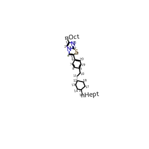 CCCCCCCCc1cn2cc(-c3ccc(CC[C@H]4CC[C@H](CCCCCCC)CC4)cc3)sc2n1